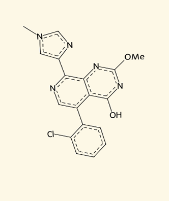 COc1nc(O)c2c(-c3ccccc3Cl)cnc(-c3cn(C)cn3)c2n1